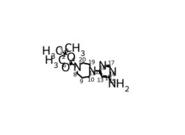 CC(C)(C)OC(=O)N1CCCN(c2cc(N)ncn2)CC1